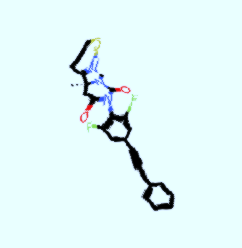 CN1C(=O)N(c2c(F)cc(C#Cc3ccccc3)cc2F)C(=O)C[C@@]1(C)c1ccsn1